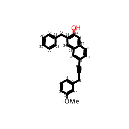 COc1cccc(CC#Cc2ccc3cc(O)c(Cc4ccccc4)cc3c2)c1